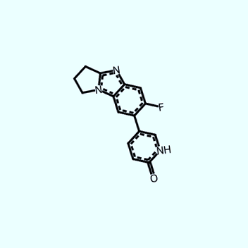 O=c1ccc(-c2cc3c(cc2F)nc2n3CCC2)c[nH]1